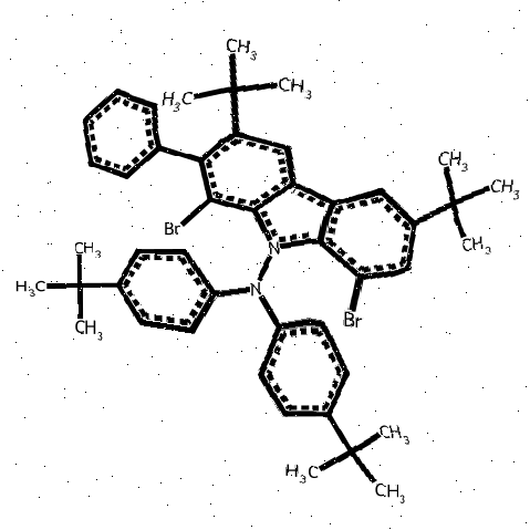 CC(C)(C)c1ccc(N(c2ccc(C(C)(C)C)cc2)n2c3c(Br)cc(C(C)(C)C)cc3c3cc(C(C)(C)C)c(-c4ccccc4)c(Br)c32)cc1